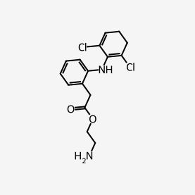 NCCOC(=O)Cc1ccccc1NC1=C(Cl)CCC=C1Cl